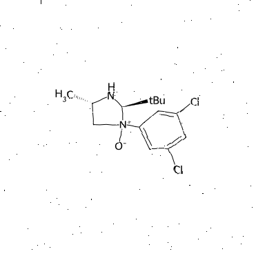 C[C@H]1C[N+]([O-])(c2cc(Cl)cc(Cl)c2)[C@H](C(C)(C)C)N1